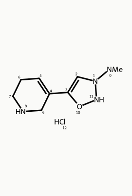 CNN1C=C(C2=CCCNC2)ON1.Cl